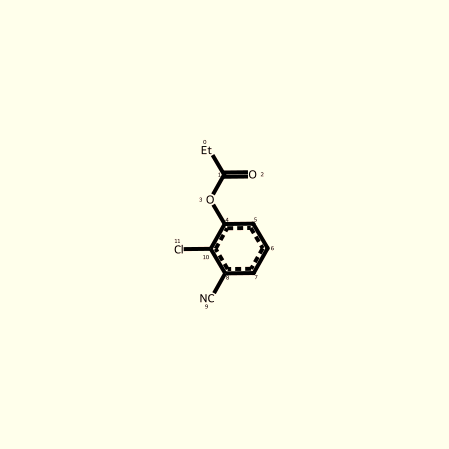 CCC(=O)Oc1cccc(C#N)c1Cl